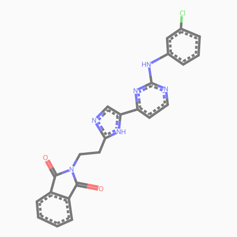 O=C1c2ccccc2C(=O)N1CCc1ncc(-c2ccnc(Nc3cccc(Cl)c3)n2)[nH]1